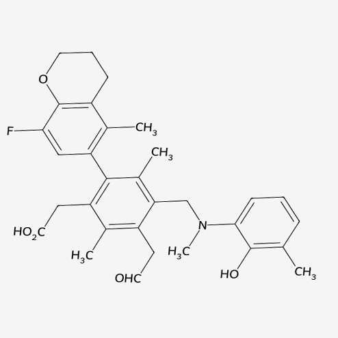 Cc1cccc(N(C)Cc2c(C)c(-c3cc(F)c4c(c3C)CCCO4)c(CC(=O)O)c(C)c2CC=O)c1O